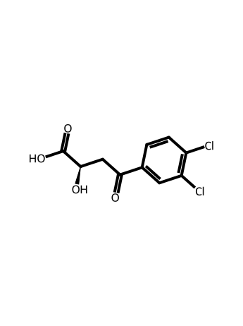 O=C(C[C@@H](O)C(=O)O)c1ccc(Cl)c(Cl)c1